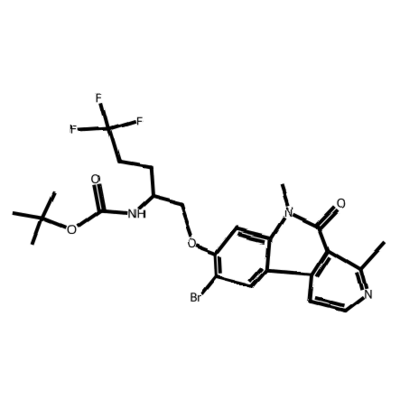 Cc1nccc2c1c(=O)n(C)c1cc(OCC(CCC(F)(F)F)NC(=O)OC(C)(C)C)c(Br)cc21